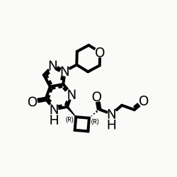 O=CCNC(=O)[C@@H]1CC[C@H]1c1nc2c(cnn2C2CCOCC2)c(=O)[nH]1